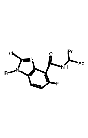 CC(=O)C(NC(=O)c1c(F)ccc2c1nc(Cl)n2C(C)C)C(C)C